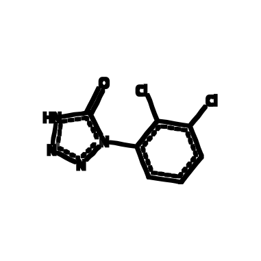 O=c1[nH]nnn1-c1cccc(Cl)c1Cl